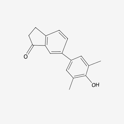 Cc1cc(-c2ccc3c(c2)C(=O)CC3)cc(C)c1O